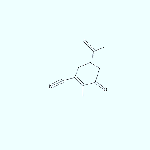 C=C(C)[C@@H]1CC(=O)C(C)=C(C#N)C1